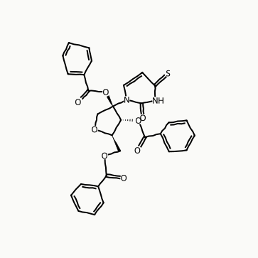 O=C(OC[C@H]1OC[C@](OC(=O)c2ccccc2)(n2ccc(=S)[nH]c2=O)[C@@H]1OC(=O)c1ccccc1)c1ccccc1